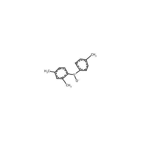 Cc1ccc([S+]([O-])c2ccc(C)cc2C)cc1